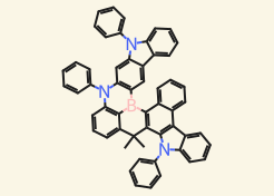 CC1(C)c2cccc3c2B(c2cc4c5ccccc5n(-c5ccccc5)c4cc2N3c2ccccc2)c2c1c1c(c3ccccc23)c2ccccc2n1-c1ccccc1